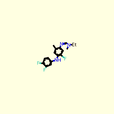 CCN(C)/C=N\c1cc(F)c(Nc2ccc(F)c(F)c2)cc1C